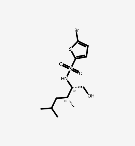 CC(C)C[C@@H](C)[C@@H](CO)NS(=O)(=O)c1ccc(Br)s1